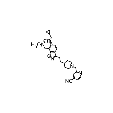 CN(C)Cc1c(OCC2CC2)ccc2c(CCC3CCN(Cc4cc(C#N)ccn4)CC3)noc12